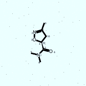 CC1=NO[C@H](C(=O)N(C)C)C1